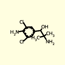 CC(C)(N)C(O)c1cc(Cl)c(N)c(Cl)c1